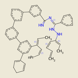 C=C/C=C\C(=C/C)NN/C(=N\C(=N)c1cccc(-c2cccc(-c3cccc(-c4cc(C5=CCCC=C5)cc(C(/C=C\CCC)=C/C)c4)c3)c2)c1)c1ccccc1